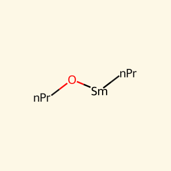 CCC[O][Sm][CH2]CC